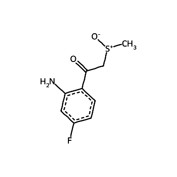 C[S+]([O-])CC(=O)c1ccc(F)cc1N